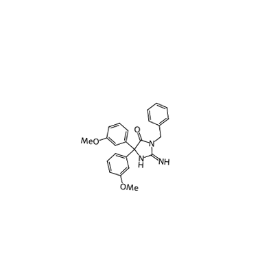 COc1cccc(C2(c3cccc(OC)c3)NC(=N)N(Cc3ccccc3)C2=O)c1